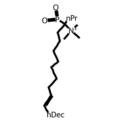 CCCCCCCCCCC=CCCCCCCCC(CCC)(P(=O)=O)[N+](C)(C)C